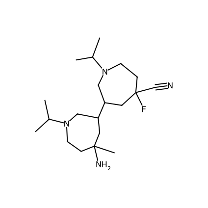 CC(C)N1CCC(C)(N)CC(C2CN(C(C)C)CCC(F)(C#N)C2)C1